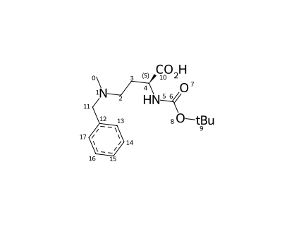 CN(CC[C@H](NC(=O)OC(C)(C)C)C(=O)O)Cc1ccccc1